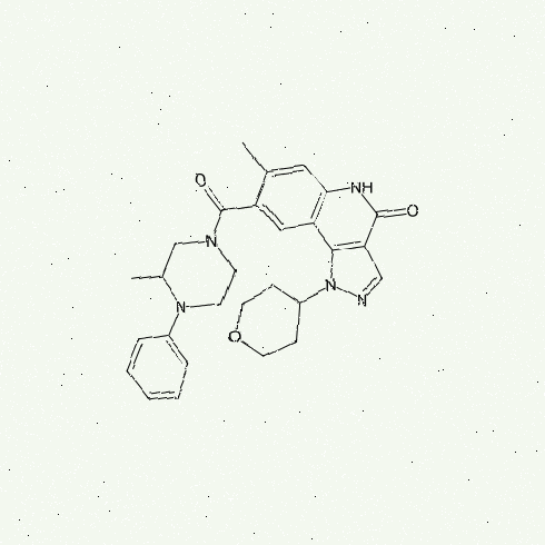 Cc1cc2[nH]c(=O)c3cnn(C4CCOCC4)c3c2cc1C(=O)N1CCN(c2ccccc2)C(C)C1